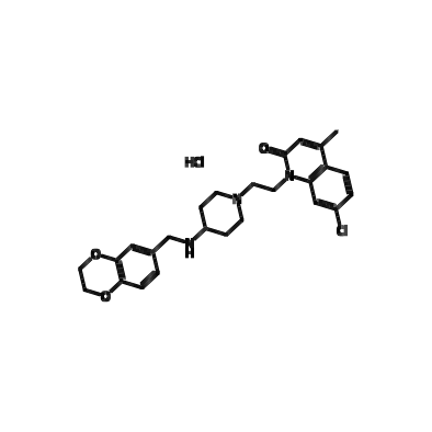 Cc1cc(=O)n(CCN2CCC(NCc3ccc4c(c3)OCCO4)CC2)c2cc(Cl)ccc12.Cl